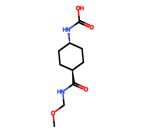 COCNC(=O)[C@H]1CC[C@H](NC(=O)O)CC1